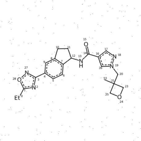 CCc1nc(-c2ccc3c(c2)CCC3NC(=O)c2cnn(CC3(C)COC3)c2)no1